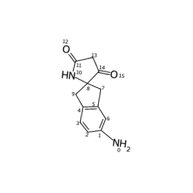 Nc1ccc2c(c1)CC1(C2)NC(=O)CC1=O